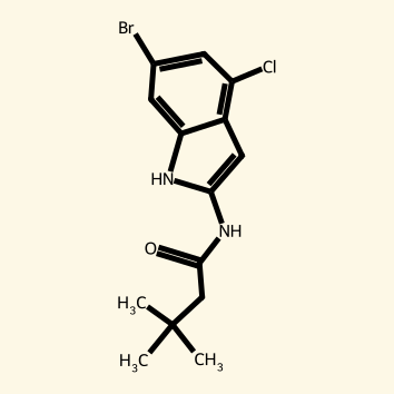 CC(C)(C)CC(=O)Nc1cc2c(Cl)cc(Br)cc2[nH]1